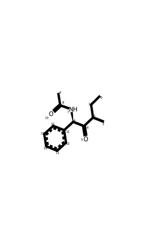 CCC(C)C(=O)[C@H](NC(C)=O)c1ccccc1